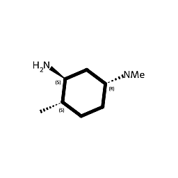 CN[C@@H]1CC[C@H](C)[C@@H](N)C1